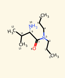 CCCN(CCC)C(=O)[C@@H](N)C(C)C